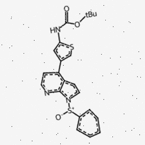 CC(C)(C)OC(=O)Nc1cc(-c2ccnc3c2ccn3[S+]([O-])c2ccccc2)cs1